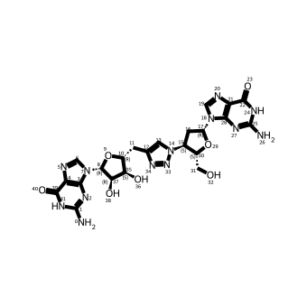 Nc1nc2c(ncn2[C@@H]2O[C@H](Cc3cn([C@H]4C[C@H](n5cnc6c(=O)[nH]c(N)nc65)O[C@@H]4CO)nn3)[C@@H](O)[C@H]2O)c(=O)[nH]1